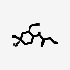 CC(C)(C)OC(=O)N[C@H]1CC[C@@](C)(O)C[C@@H]1CO